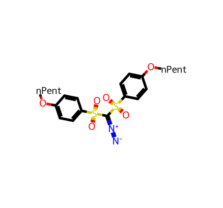 CCCCCOc1ccc(S(=O)(=O)C(=[N+]=[N-])S(=O)(=O)c2ccc(OCCCCC)cc2)cc1